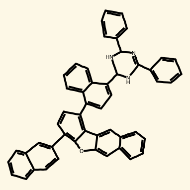 c1ccc(C2=NC(c3ccccc3)NC(c3ccc(-c4ccc(-c5ccc6ccccc6c5)c5oc6cc7ccccc7cc6c45)c4ccccc34)N2)cc1